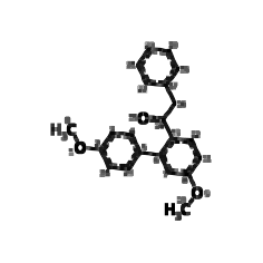 COc1ccc(-c2cc(OC)ccc2C(=O)Cc2ccccc2)cc1